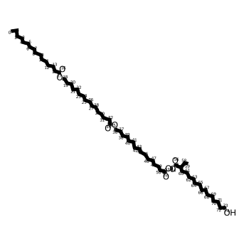 CCCCCCCCCCCCCCCC(=O)OCCCCCCCCCCCCCCCC(=O)OCCCCCCCCCCCCCCCC(=O)OOC(=O)C(CC)CCCCCCCCCCCCCCO